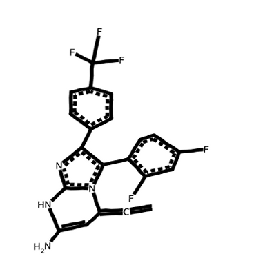 C=C=C1C=C(N)Nc2nc(-c3ccc(C(F)(F)F)cc3)c(-c3ccc(F)cc3F)n21